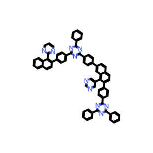 c1ccc(-c2nc(-c3ccccc3)nc(-c3ccc(-c4ccc5ccc(-c6ccc(-c7nc(-c8ccccc8)nc(-c8ccc(-c9ccc%10ccccc%10c9-c9ncccn9)cc8)n7)cc6)cc5c4-c4cncnc4)cc3)n2)cc1